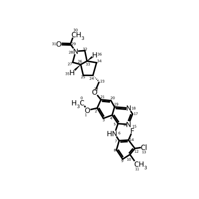 COc1cc2c(Nc3ccc(C)c(Cl)c3F)ncnc2cc1OC[C@@H]1C[C@@H]2CN(C(C)=O)C[C@@H]2C1